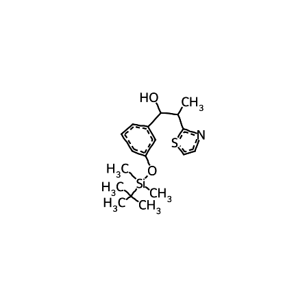 CC(c1nccs1)C(O)c1cccc(O[Si](C)(C)C(C)(C)C)c1